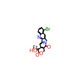 CC[C@@]1(O)C(=O)OCc2c1cc1n(c2=O)Cc2cc3c(Br)cccc3nc2-1